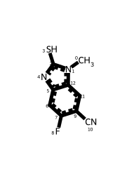 Cn1c(S)nc2cc(F)c(C#N)cc21